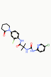 CC(C)(NC(=O)Nc1ccc(Cl)cn1)C(=O)Nc1ccc(N2CCCCC2=O)cc1F